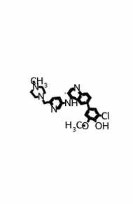 COc1cc(-c2ccc3nc[c]c(Nc4ccc(CN5CCN(C)CC5)nc4)c3c2)cc(Cl)c1O